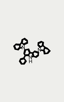 c1ccc(-c2cc(-n3c4ccccc4c4ccccc43)cc3c2[nH]c2ccc(-n4c5ccccc5c5ccccc54)cc23)cc1